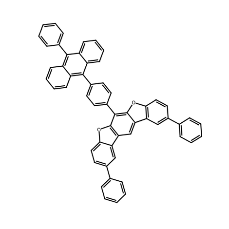 c1ccc(-c2ccc3oc4c(-c5ccc(-c6c7ccccc7c(-c7ccccc7)c7ccccc67)cc5)c5oc6ccc(-c7ccccc7)cc6c5cc4c3c2)cc1